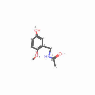 COc1ccc(O)cc1CNC(C)=O